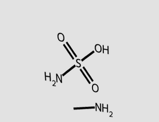 CN.NS(=O)(=O)O